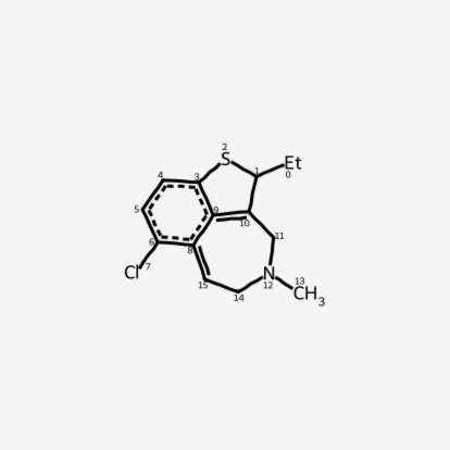 CCC1Sc2ccc(Cl)c3c2=C1CN(C)CC=3